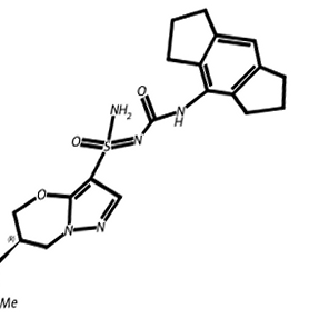 CNC[C@H]1COc2c(S(N)(=O)=NC(=O)Nc3c4c(cc5c3CCC5)CCC4)cnn2C1